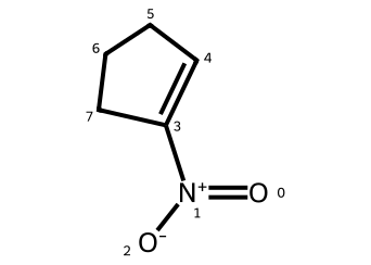 O=[N+]([O-])C1=CCCC1